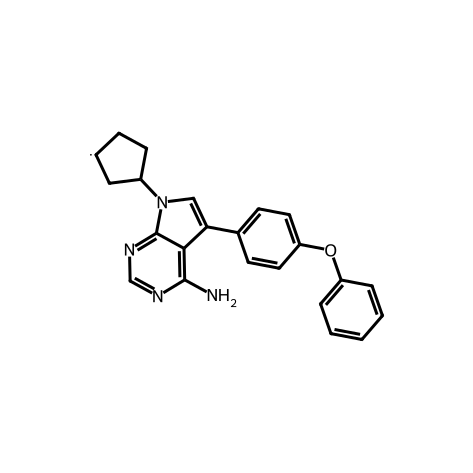 Nc1ncnc2c1c(-c1ccc(Oc3ccccc3)cc1)cn2C1C[CH]CC1